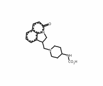 O=C(O)NC1CCN(CC2Cn3c(=O)ccc4cccc2c43)CC1